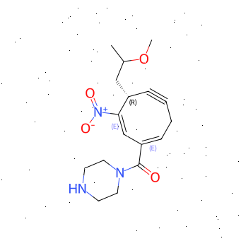 COC(C)C[C@@H]1C#CC/C=C(C(=O)N2CCNCC2)\C=C/1[N+](=O)[O-]